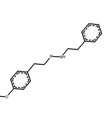 COc1ccc(CC[N]NCCc2ccccc2)cc1